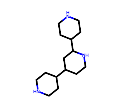 C1CC(C2CCNC(C3CCNCC3)C2)CCN1